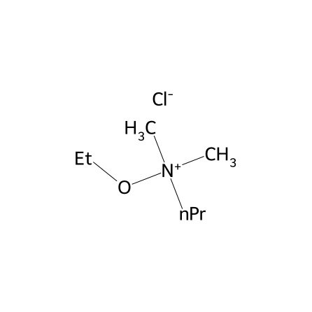 CCC[N+](C)(C)OCC.[Cl-]